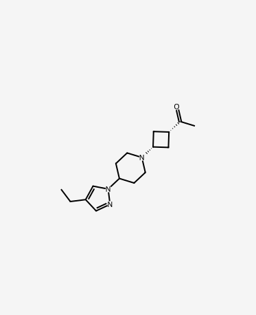 CCc1cnn(C2CCN([C@H]3C[C@@H](C(C)=O)C3)CC2)c1